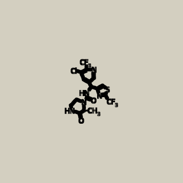 C[C@@H]1C(=O)NCCN1C(=O)NC(c1cnc(C(F)(F)F)c(Cl)c1)c1csc(C(F)(F)F)n1